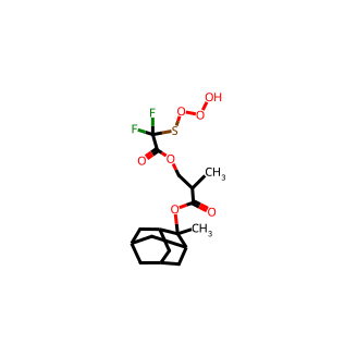 CC(COC(=O)C(F)(F)SOOO)C(=O)OC1(C)C2CC3CC(C2)CC1C3